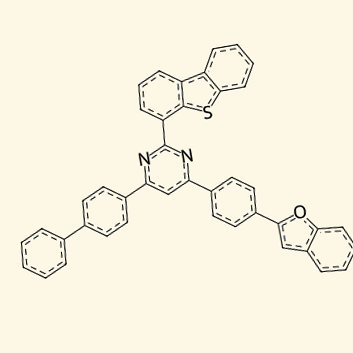 c1ccc(-c2ccc(-c3cc(-c4ccc(-c5cc6ccccc6o5)cc4)nc(-c4cccc5c4sc4ccccc45)n3)cc2)cc1